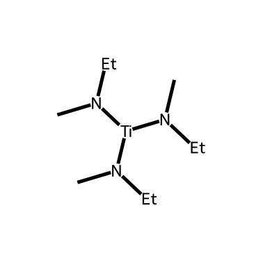 CC[N](C)[Ti]([N](C)CC)[N](C)CC